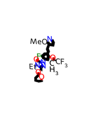 CCn1c(COC2CCCCO2)nn(-c2cc(O[C@@H](C)C(F)(F)F)c(/C=C/c3cccnc3OC)cc2F)c1=O